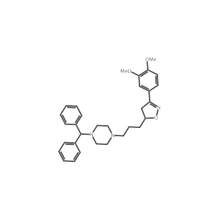 COc1ccc(C2=NOC(CCCN3CCN(C(c4ccccc4)c4ccccc4)CC3)C2)cc1OC